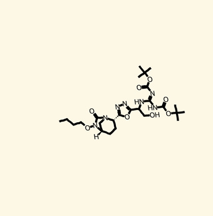 CCCCON1C(=O)N2C[C@@H]1CC[C@H]2c1nnc(C(CO)N/C(=N\C(=O)OC(C)(C)C)NC(=O)OC(C)(C)C)o1